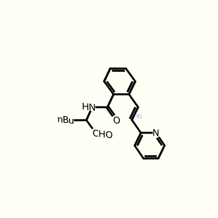 CCCCC(C=O)NC(=O)c1ccccc1/C=C/c1ccccn1